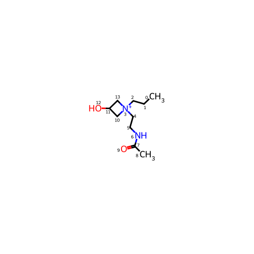 CCC[N+]1(CCNC(C)=O)CC(O)C1